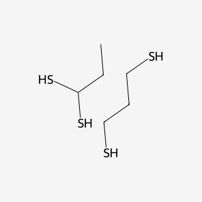 CCC(S)S.SCCCS